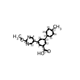 COc1ncc(-c2cc(C(=O)O)cc(-c3ccc(C)cc3)c2)cn1